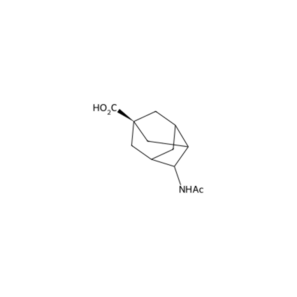 CC(=O)NC1C2CC3C[C@@](C(=O)O)(C2)CC31